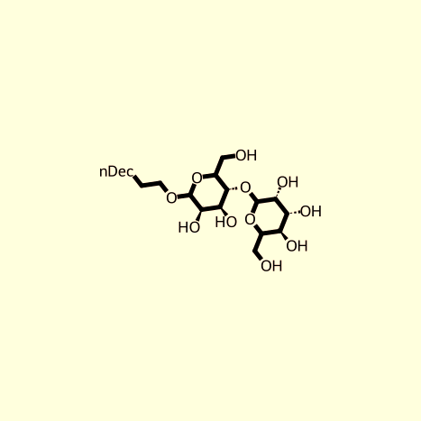 CCCCCCCCCCCCOC1OC(CO)[C@H](OC2OC(CO)[C@H](O)[C@@H](O)[C@H]2O)[C@@H](O)[C@H]1O